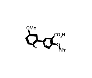 CCCOc1ccc(-c2cc(OC)ccc2F)cc1C(=O)O